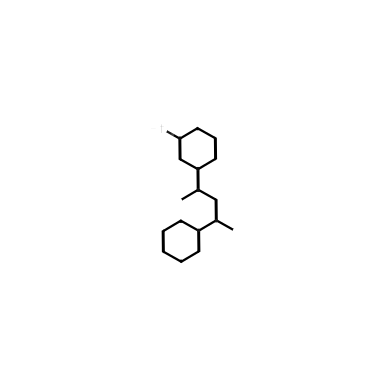 CCC1CCCC(C(C)CC(C)C2CCCCC2)C1